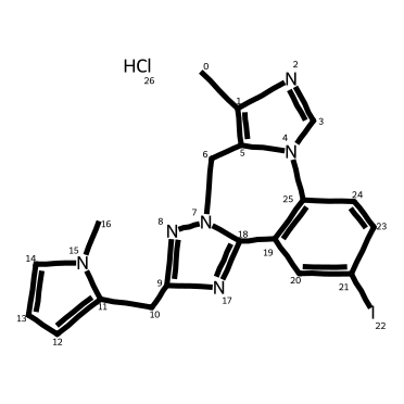 Cc1ncn2c1Cn1nc(Cc3cccn3C)nc1-c1cc(I)ccc1-2.Cl